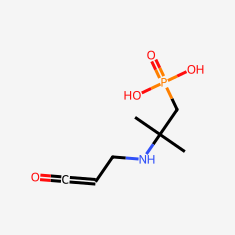 CC(C)(CP(=O)(O)O)NCC=C=O